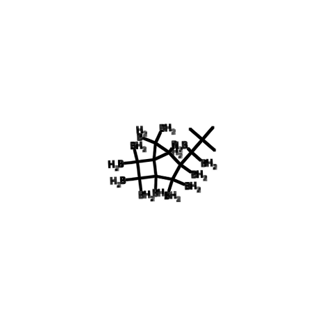 BC(B)(C(C)(C)C)C1(B)C(B)(B)C2(B)C(B)(B)C(B)(B)C23C(B)(B)C13B